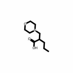 CCCC(CN1CCOCC1)C(=O)O